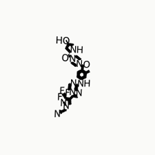 Cc1cc(Nc2nccn3c(-c4cn(CC#N)nc4C(F)(F)F)cnc23)ccc1C(=O)N1CCN(C(=O)[C@@H]2C[C@@H](O)CN2)CC1